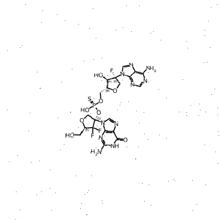 Nc1nc2c(ncn2[C@]2(OP(O)(=S)OC[C@H]3OC[C@](F)(n4cnc5c(N)ncnc54)[C@@H]3O)CO[C@H](CO)C2(F)F)c(=O)[nH]1